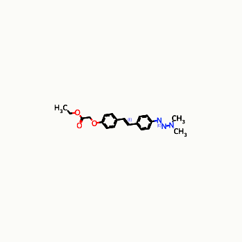 CCOC(=O)COc1ccc(/C=C/c2ccc(/N=N/N(C)C)cc2)cc1